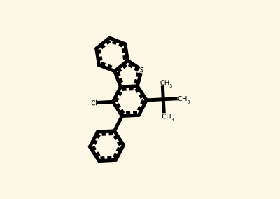 CC(C)(C)c1cc(-c2ccccc2)c(Cl)c2c1sc1ccccc12